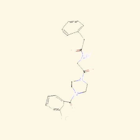 O=C(Cc1ccccc1)NCC(=O)N1CCN(C(=O)c2ccccc2C(F)(F)F)CC1